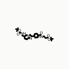 CC(C)(C)OC(=O)CCNC(=O)c1ccc(-c2cn3cc(CNC(=O)OC(C)(C)C)ccc3n2)cc1